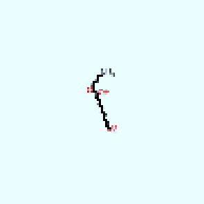 CCCCCC1OC1C(O)CCCCCCCC=CC(=O)O